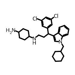 NC1CCC(NCCC(c2cc(Cl)cc(Cl)c2)c2cn(CC3CCCCC3)c3ccccc23)CC1